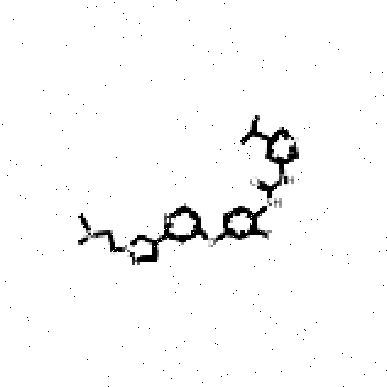 CC(C)c1cncc(NC(=O)Nc2ccc(Oc3ccnc(C4C=NN(CCN(C)C)C4)c3)cc2F)c1